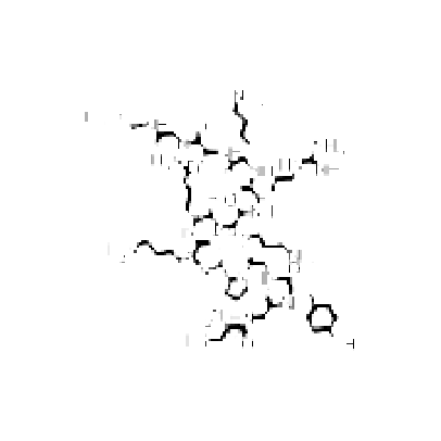 CC(C)[C@H](NC(=O)[C@H](CCCCN)NC(=O)[C@H](CCCNC(=N)N)NC(=O)[C@H](CCCCN)NC(=O)[C@H](CCCCN)NC(=O)[C@H](CCCCN)NC(=O)[C@@H]1CCCN1C(=O)CNC(=O)[C@H](Cc1ccc(O)cc1)NC(=O)CNC(=O)[C@@H](N)CS)C(=O)NCC(=O)NCC(=O)O